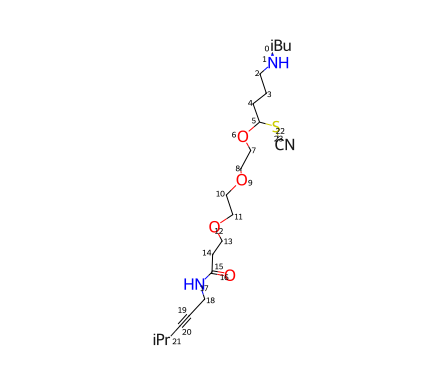 CC[C@H](C)NCCCC(OCCOCCOCCC(=O)NCC#CC(C)C)SC#N